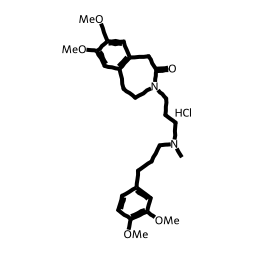 COc1ccc(CCCN(C)CCCN2CCc3cc(OC)c(OC)cc3CC2=O)cc1OC.Cl